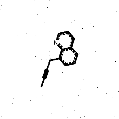 CC#CCc1cccc2cccnc12